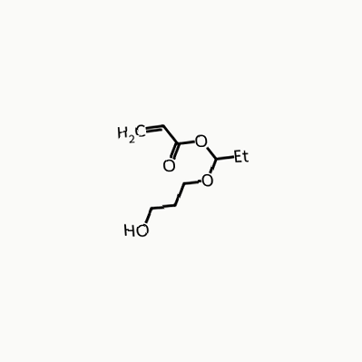 C=CC(=O)OC(CC)OCCCO